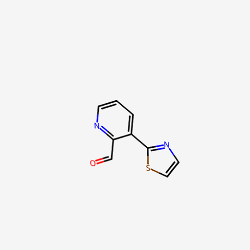 O=Cc1ncccc1-c1nccs1